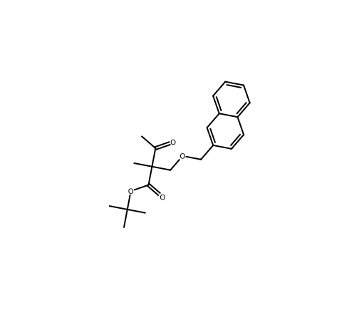 CC(=O)C(C)(COCc1ccc2ccccc2c1)C(=O)OC(C)(C)C